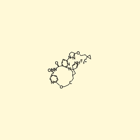 C=CC1(C=N)CC2CCCCOc3ccc(cn3)[S+]([O-])NC(=O)c3ccc(N4CCC(OCCC5(C(F)(F)F)CC5)=N4)nc3N1C2